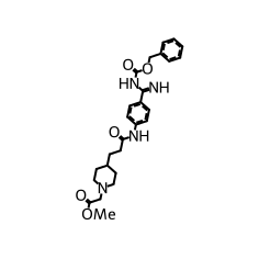 COC(=O)CN1CCC(CCC(=O)Nc2ccc(C(=N)NC(=O)OCc3ccccc3)cc2)CC1